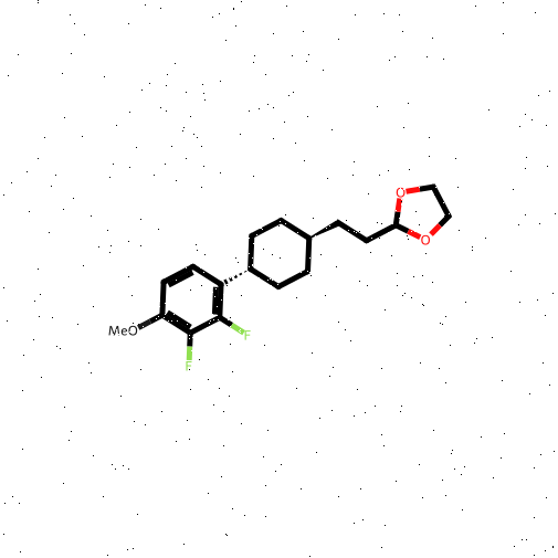 COc1ccc([C@H]2CC[C@H](CCC3OCCO3)CC2)c(F)c1F